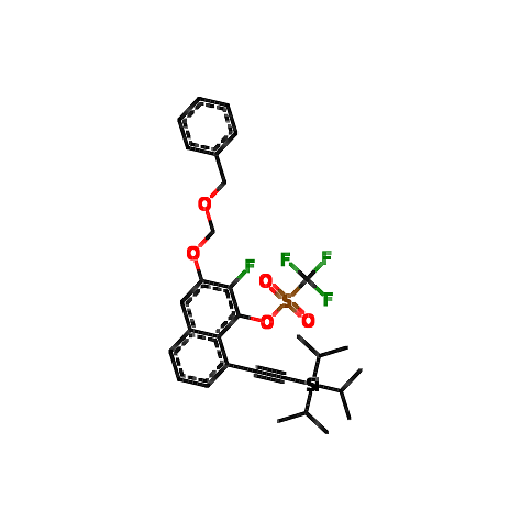 CC(C)[Si](C#Cc1cccc2cc(OCOCc3ccccc3)c(F)c(OS(=O)(=O)C(F)(F)F)c12)(C(C)C)C(C)C